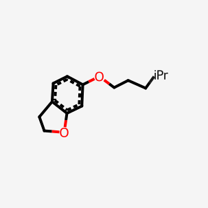 CC(C)CCCOc1ccc2c(c1)OCC2